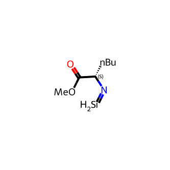 CCCC[C@H](N=[SiH2])C(=O)OC